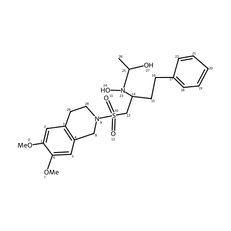 COc1cc2c(cc1OC)CN(S(=O)(=O)CC(CCc1ccccc1)N(O)C(C)O)CC2